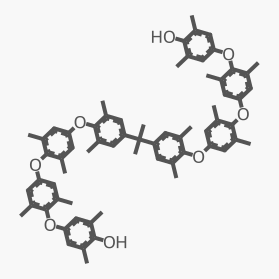 Cc1cc(Oc2c(C)cc(Oc3c(C)cc(Oc4c(C)cc(C(C)(C)c5cc(C)c(Oc6cc(C)c(Oc7cc(C)c(Oc8cc(C)c(O)c(C)c8)c(C)c7)c(C)c6)c(C)c5)cc4C)cc3C)cc2C)cc(C)c1O